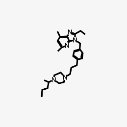 CCCC(C)N1CCN(CCCc2ccc(Cn3c(CC)nc4c(C)cc(C)nc43)cc2)CC1